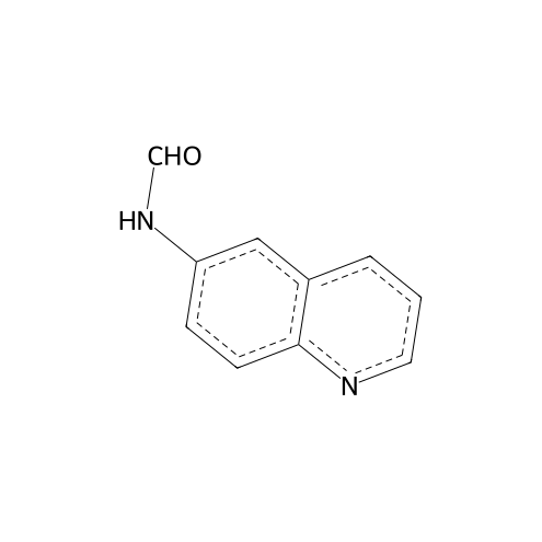 O=CNc1ccc2ncccc2c1